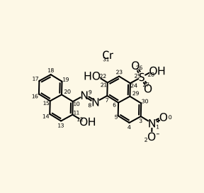 O=[N+]([O-])c1ccc2c(N=Nc3c(O)ccc4ccccc34)c(O)cc(S(=O)(=O)O)c2c1.[Cr]